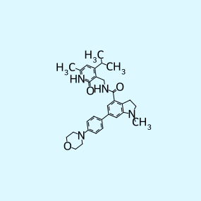 Cc1cc(C(C)C)c(CNC(=O)c2cc(-c3ccc(N4CCOCC4)cc3)cc3c2CCN3C)c(=O)[nH]1